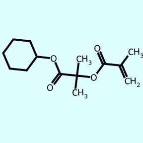 C=C(C)C(=O)OC(C)(C)C(=O)OC1CCCCC1